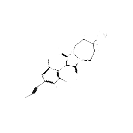 CC#Cc1cc(C)c(C2C(=O)N3CCC(OC)CCN3C2=O)c(CC)c1